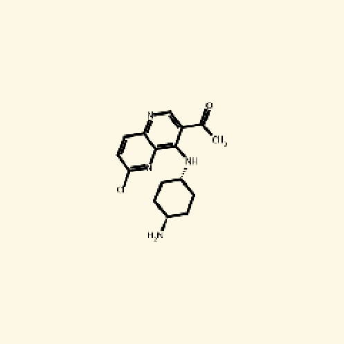 CC(=O)c1cnc2ccc(Cl)nc2c1N[C@H]1CC[C@H](N)CC1